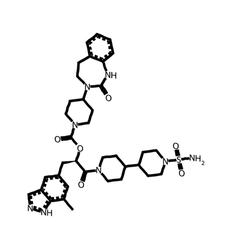 Cc1cc(C[C@@H](OC(=O)N2CCC(N3CCc4ccccc4NC3=O)CC2)C(=O)N2CCC(C3CCN(S(N)(=O)=O)CC3)CC2)cc2cn[nH]c12